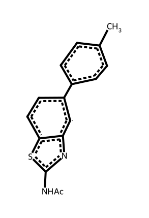 CC(=O)Nc1nc2[c]c(-c3ccc(C)cc3)ccc2s1